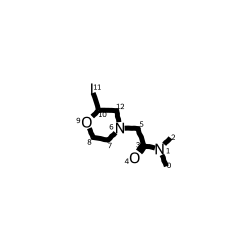 CN(C)C(=O)CN1CCOC(I)C1